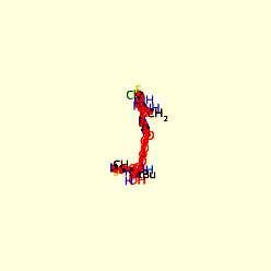 C=CC(=O)Nc1cc2c(Nc3ccc(F)c(Cl)c3)ncnc2cc1OCCCN1CCC(N2CCN(C(=O)CCOCCOCCOCCOCCC(=O)N[C@H](C(=O)N3C[C@H](O)C[C@H]3C(=O)NCc3ccc(-c4scnc4C)cc3)C(C)(C)C)CC2)CC1